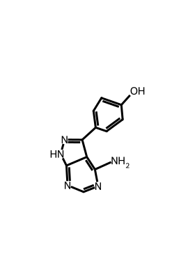 Nc1ncnc2[nH]nc(-c3ccc(O)cc3)c12